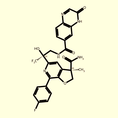 C[C@]1(C(N)=O)COc2c1cc([C@@](O)(CNC(=O)c1ccc3ncc(=O)[nH]c3c1)C(F)(F)F)nc2-c1ccc(F)cc1